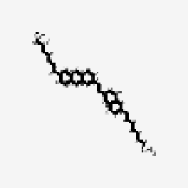 CCCCCCCCc1ccc2cc(C=Cc3ccc4cc5cc(CCCCCCCC)ccc5cc4c3)ccc2c1